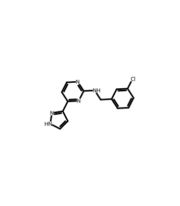 Clc1cccc(CNc2nccc(-c3cc[nH]n3)n2)c1